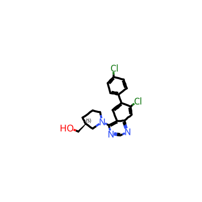 OC[C@H]1CCCN(c2ncnc3cc(Cl)c(-c4ccc(Cl)cc4)cc23)C1